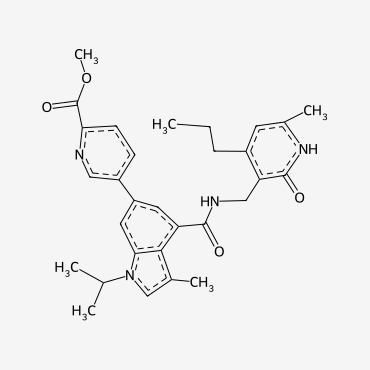 CCCc1cc(C)[nH]c(=O)c1CNC(=O)c1cc(-c2ccc(C(=O)OC)nc2)cc2c1c(C)cn2C(C)C